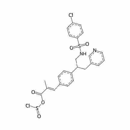 C/C(=C\c1ccc(C(CNS(=O)(=O)c2ccc(Cl)cc2)Cc2cccnc2)cc1)C(=O)OS(=O)Cl